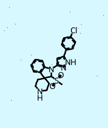 CS(=O)(=O)C1N(c2cc(-c3ccc(Cl)cc3)[nH]n2)c2ccccc2C12CCNCC2